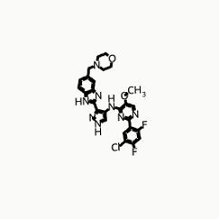 COc1cnc(-c2cc(Cl)c(F)cc2F)nc1Nc1c[nH]nc1-c1nc2cc(CN3CCOCC3)ccc2[nH]1